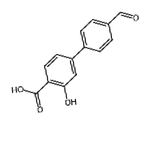 O=Cc1ccc(-c2ccc(C(=O)O)c(O)c2)cc1